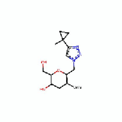 COC1CC(O)C(CO)OC1Cn1cc(C2(C)CC2)nn1